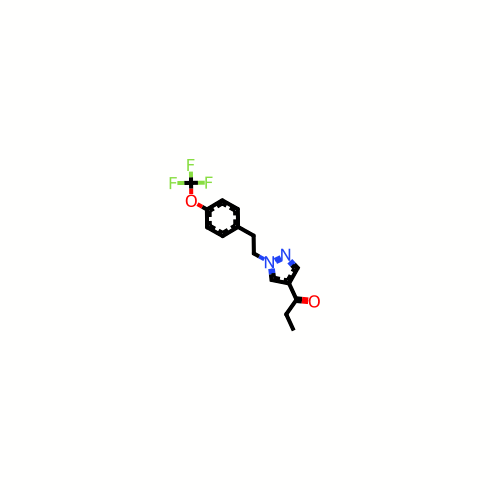 CCC(=O)c1cnn(CCc2ccc(OC(F)(F)F)cc2)c1